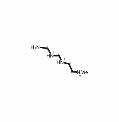 CNCCNCNCN